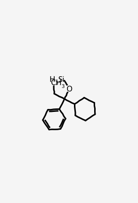 CCC(O[SiH3])(c1ccccc1)C1CCCCC1